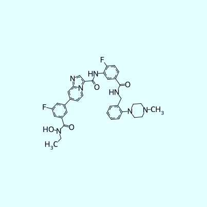 CCN(O)C(=O)c1cc(F)cc(-c2ccn3c(C(=O)Nc4cc(C(=O)NCc5ccccc5N5CCN(C)CC5)ccc4F)cnc3c2)c1